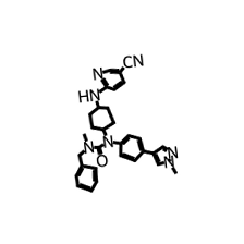 CN(Cc1ccccc1)C(=O)N(c1ccc(-c2cnn(C)c2)cc1)C1CCC(Nc2ccc(C#N)cn2)CC1